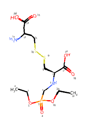 CCOP(=O)(CN[C@@H](CSSCC(N)C(=O)O)C(=O)O)OCC